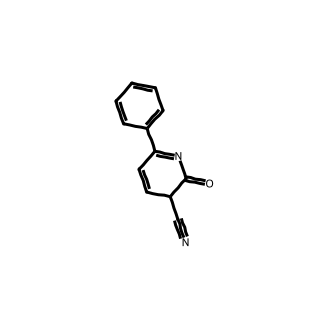 N#CC1C=CC(c2ccccc2)=NC1=O